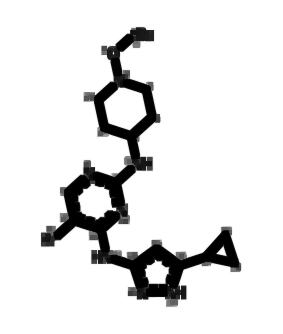 CC(C)(C)ON1CCC(Nc2ncc(Br)c(Nc3cc(C4CC4)[nH]n3)n2)CC1